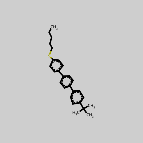 CCCCCSc1ccc(-c2ccc(-c3ccc(C(C)(C)C)cc3)cc2)cc1